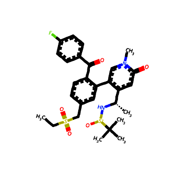 CCS(=O)(=O)Cc1ccc(C(=O)c2ccc(F)cc2)c(-c2cn(C)c(=O)cc2[C@H](C)N[S+]([O-])C(C)(C)C)c1